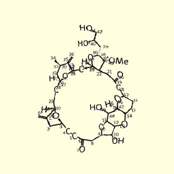 C=C1CC2CCC(=O)CC3OC4C(OC5CCC(CC(=O)CC6[C@H](C[C@H]7O[C@@H](CC[C@@H]1O2)C[C@@H](C)C7=C)O[C@H](CC(O)CO)[C@@H]6OC)O[C@@H]5C4O)C3O